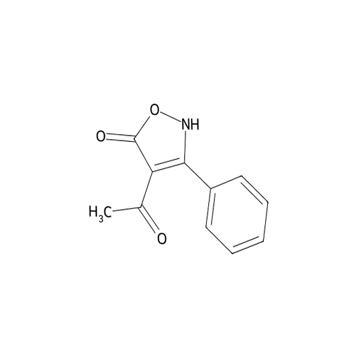 CC(=O)c1c(-c2ccccc2)[nH]oc1=O